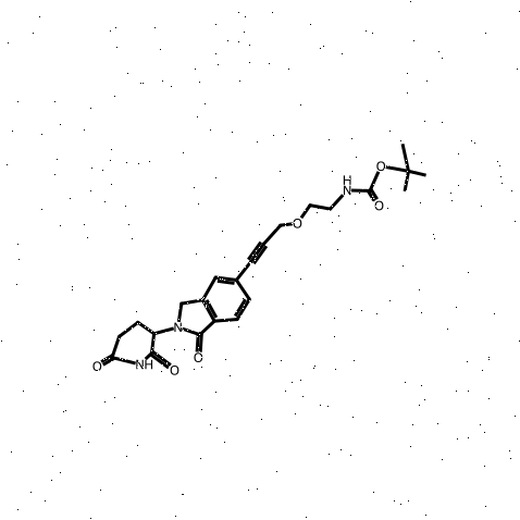 CC(C)(C)OC(=O)NCCOCC#Cc1ccc2c(c1)CN(C1CCC(=O)NC1=O)C2=O